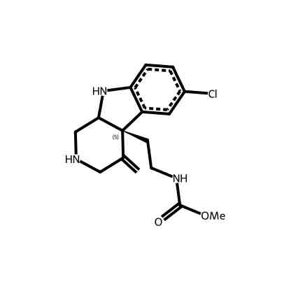 C=C1CNCC2Nc3ccc(Cl)cc3[C@]12CCNC(=O)OC